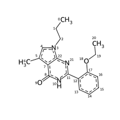 CCCn1cc(C)c2c(=O)[nH]c(-c3ccccc3OCC)nc21